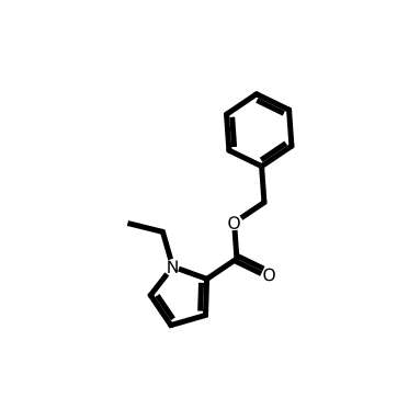 CCn1cccc1C(=O)OCc1ccccc1